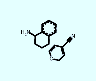 N#CC1=CCOC=C1.NC1CCCc2ccccc21